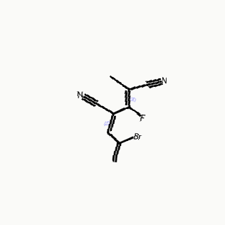 C=C(Br)/C=C(C#N)\C(F)=C(/C)C#N